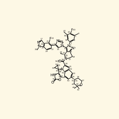 Cc1cc(-n2nc3c(c2-n2cc(-c4ccc5c(cnn5C)c4F)nn2)[C@H](C)N(C(=O)c2cc4cc([C@H]5CCOC(C)(C)C5)ccc4n2[C@@]2(c4noc(=O)[nH]4)C[C@@H]2C)CC3)cc(C)c1F